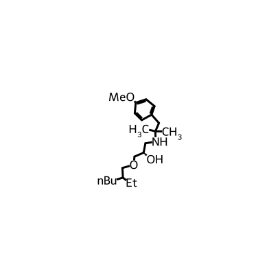 CCCCC(CC)COC[C@H](O)CNC(C)(C)Cc1ccc(OC)cc1